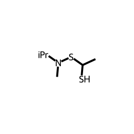 CC(S)SN(C)C(C)C